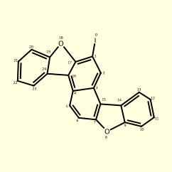 Ic1cc2c(ccc3oc4ccccc4c32)c2c1oc1ccccc12